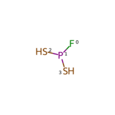 FP(S)S